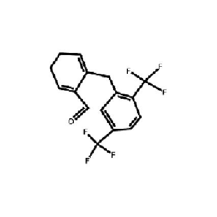 O=CC1=CCCC=C1Cc1cc(C(F)(F)F)ccc1C(F)(F)F